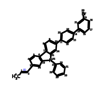 C/C=C/c1ccc2c3ccc(-c4ccc(-c5cccc(Br)c5)cc4)cc3n(-c3ccccc3)c2c1